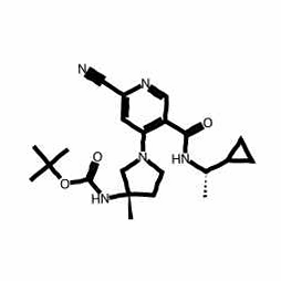 C[C@H](NC(=O)c1cnc(C#N)cc1N1CC[C@](C)(NC(=O)OC(C)(C)C)C1)C1CC1